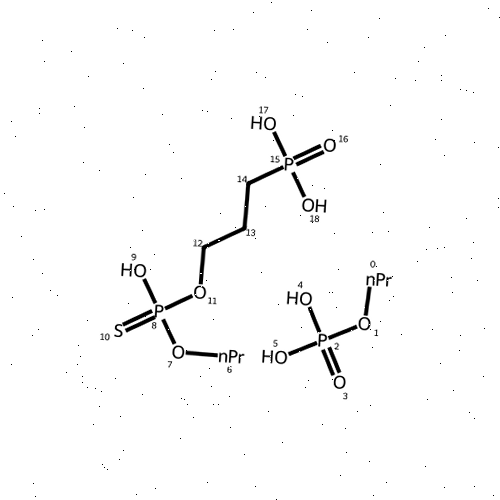 CCCOP(=O)(O)O.CCCOP(O)(=S)OCCCP(=O)(O)O